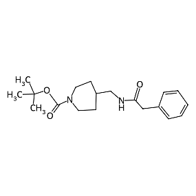 CC(C)(C)OC(=O)N1CCC(CNC(=O)Cc2ccccc2)CC1